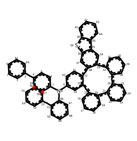 c1ccc(-c2ccc(N(c3ccc4c(c3)c3ccccc3c3ccccc3c3ccccc3c3cc5c(cc43)sc3ccccc35)c3ccccc3-c3ccccc3)cc2)cc1